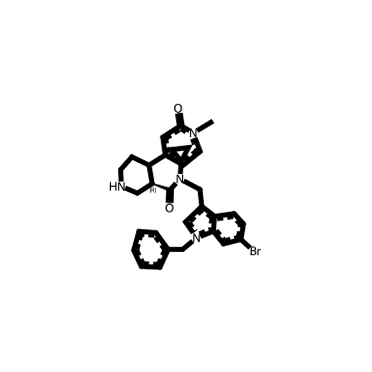 Cn1ccc(C2CCNC[C@@H]2C(=O)N(Cc2cn(Cc3ccccc3)c3cc(Br)ccc23)C2CC2)cc1=O